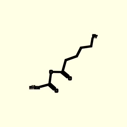 CCCCCCC(=O)OC(=O)CCCCC(C)C